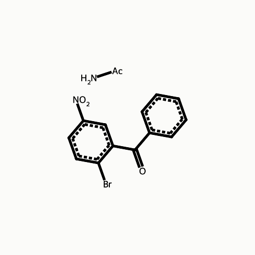 CC(N)=O.O=C(c1ccccc1)c1cc([N+](=O)[O-])ccc1Br